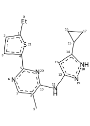 CCc1ccc(-c2ncc(C)c(Nc3cc(C4CC4)[nH]n3)n2)s1